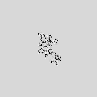 O=C(NC1CCC1)c1cc(Cl)cc(Cl)c1NC(=O)c1cc(Cn2nnc(C(F)F)n2)nn1-c1ncccc1Cl